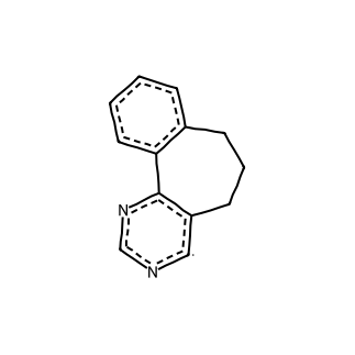 [c]1ncnc2c1CCCc1ccccc1-2